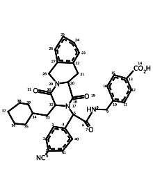 N#Cc1ccc(C(C(=O)NCc2ccc(C(=O)O)cc2)N2C(=O)C3Cc4ccccc4CN3C(=O)C2CC2CCCCC2)cc1